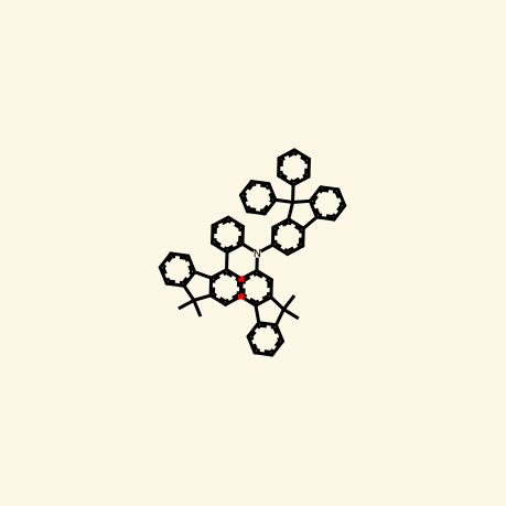 CC1(C)c2ccccc2-c2ccc(N(c3ccc4c(c3)C(c3ccccc3)(c3ccccc3)c3ccccc3-4)c3ccccc3-c3cccc4c3-c3ccccc3C4(C)C)cc21